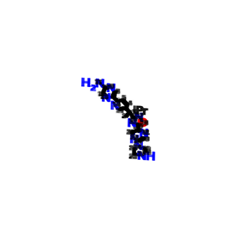 CC(C)[C@](C)(c1ccc(-c2cnc(N)cn2)nc1)c1noc(-c2cnc(N3CCNCC3)cn2)n1